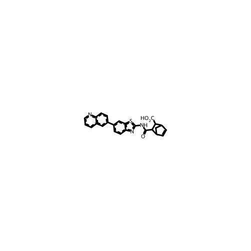 O=C(O)C1C2C=CC(C2)C1C(=O)Nc1nc2ccc(-c3ccc4ncccc4c3)cc2s1